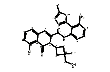 Cc1nnc(-c2c(N)ncnc2NC(C)c2nc3cccc(Cl)c3c(=O)n2C2CC(F)(CO)C2)o1